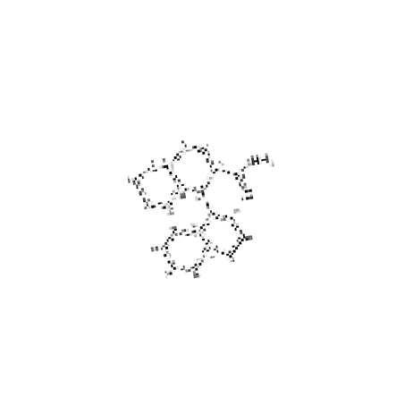 NC(=O)c1ccc2ccccc2c1-c1cccc2ccccc12